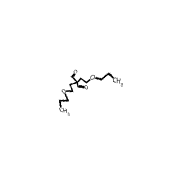 CCCOCCC([C]=O)(C=O)CCOCCC